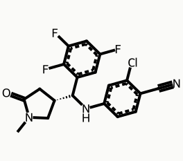 CN1C[C@@H](C(Nc2ccc(C#N)c(Cl)c2)c2cc(F)cc(F)c2F)CC1=O